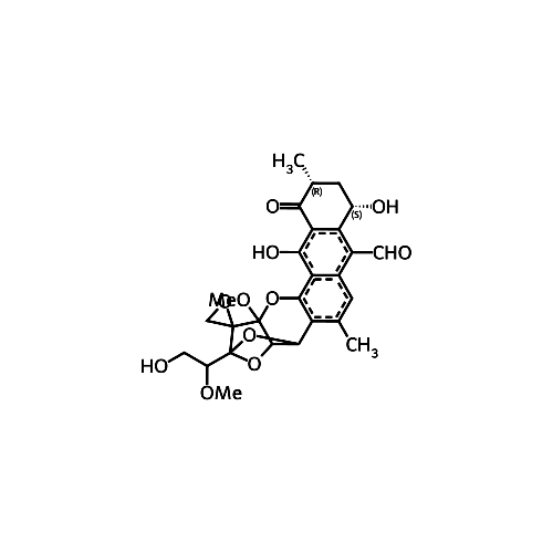 COC(CO)C12OC3c4c(C)cc5c(C=O)c6c(c(O)c5c4OC(OC)(C3O1)C21CO1)C(=O)[C@H](C)C[C@@H]6O